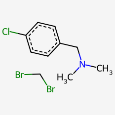 BrCBr.CN(C)Cc1ccc(Cl)cc1